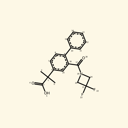 CC(C)(C(=O)O)c1ccc(-c2ccccc2)c(C(=O)N2CC(F)(F)C2)c1